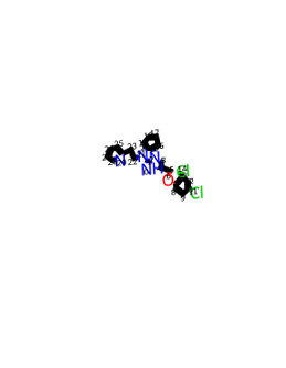 N=c1n(CCCOc2ccc(Cl)cc2Cl)c2ccccc2n1CCc1ccccn1